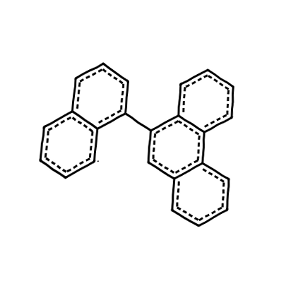 [c]1cccc2cccc(-c3cc4ccccc4c4ccccc34)c12